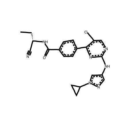 CC[C@@H](C#N)NC(=O)c1ccc(-c2nc(Nc3cnn(C4CC4)c3)ncc2Cl)cc1